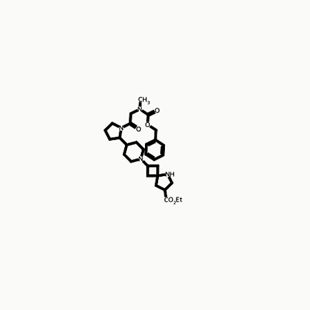 CCOC(=O)C1CNC2(C1)CC(N1CCC(C3CCCN3C(=O)CN(C)C(=O)OCc3ccccc3)CC1)C2